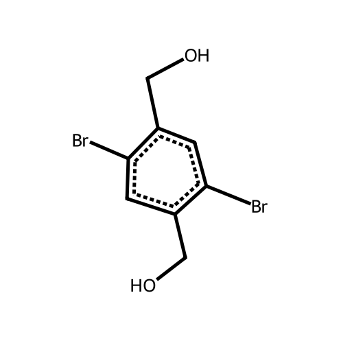 OCc1cc(Br)c(CO)cc1Br